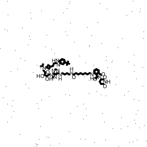 CC(C)N(CC1OC(n2cnc3c(NCCCCNC(=O)CCCCCCCNc4cccc5c4C(=O)N(C4CCC(=O)NC4=O)C5=O)ncnc32)C(O)C1O)C1CC(CCc2nc3cc(C(C)(C)C)ccc3[nH]2)C1